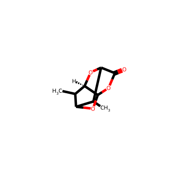 CC1C2O[C@H]3C(OC2=O)OC1C3C